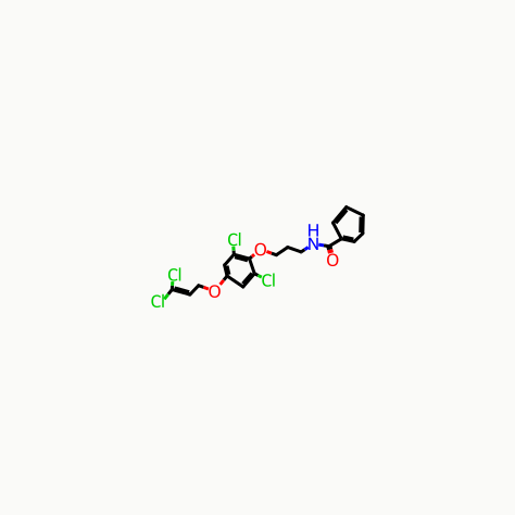 O=C(NCCCOc1c(Cl)cc(OCC=C(Cl)Cl)cc1Cl)c1ccccc1